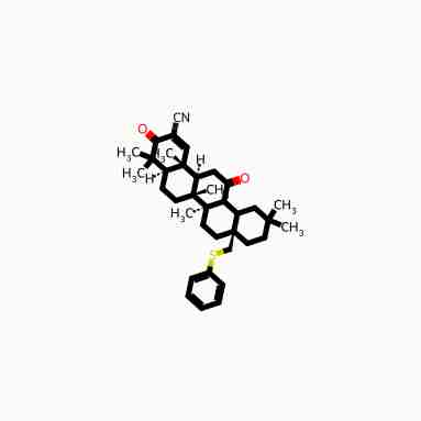 CC1(C)CC[C@]2(CSc3ccccc3)CC[C@]3(C)C(C(=O)C[C@@H]4[C@@]5(C)C=C(C#N)C(=O)C(C)(C)[C@@H]5CC[C@]43C)C2C1